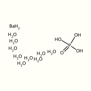 O.O.O.O.O.O.O.O.O.O=P(O)(O)O.[BaH2]